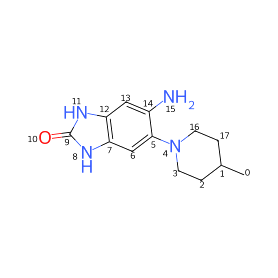 CC1CCN(c2cc3[nH]c(=O)[nH]c3cc2N)CC1